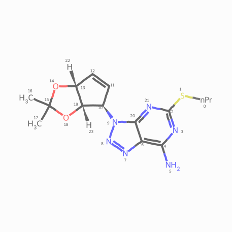 CCCSc1nc(N)c2nnn([C@@H]3C=C[C@H]4OC(C)(C)O[C@@H]34)c2n1